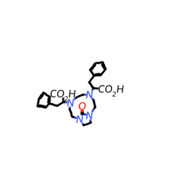 O=C(O)C(Cc1ccccc1)N1CCN2CCN(CCN(C(Cc3ccccc3)C(=O)O)CC1)C2=O